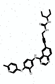 CCC(CC)NC(=O)NCC#Cc1ccc2ncnc(Nc3ccc(Oc4ccc(C)nc4)c(Cl)c3)c2c1